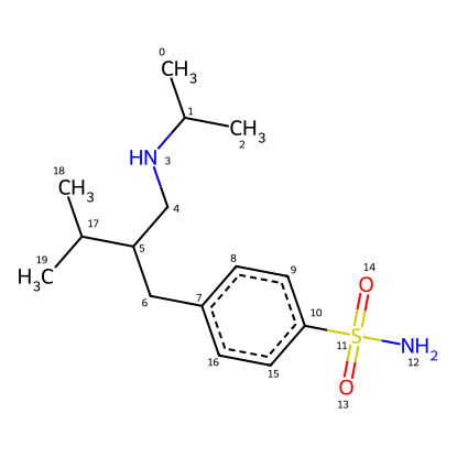 CC(C)NCC(Cc1ccc(S(N)(=O)=O)cc1)C(C)C